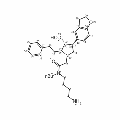 CCCCN(CCCCN)C(=O)CN1C[C@H](c2ccc3c(c2)CCO3)[C@@H](C(=O)O)[C@@H]1CCc1ccccn1